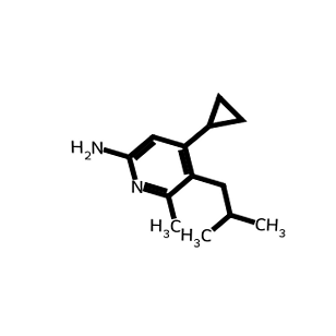 Cc1nc(N)cc(C2CC2)c1CC(C)C